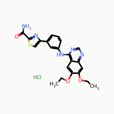 CCOc1cc2ncnc(Nc3cccc(-c4csc(C(N)=O)n4)c3)c2cc1OCC.Cl